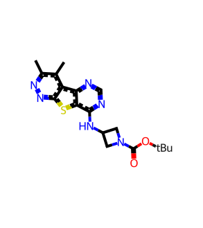 Cc1nnc2sc3c(NC4CN(C(=O)OC(C)(C)C)C4)ncnc3c2c1C